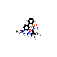 Cc1noc(NS(=O)(=O)c2ccccc2-c2ccc(N(C)C)cc2)c1C